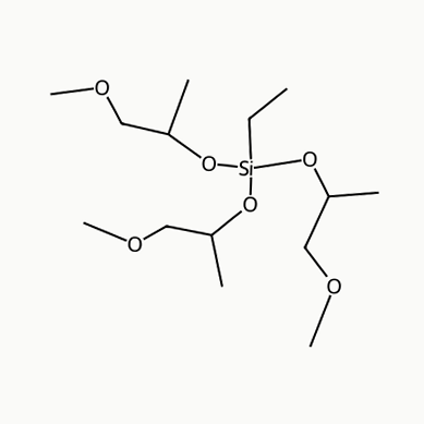 CC[Si](OC(C)COC)(OC(C)COC)OC(C)COC